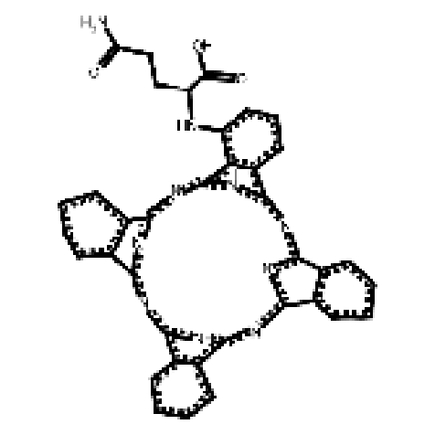 NC(=O)CC[C@H](Nc1cccc2c3nc4nc(nc5[nH]c(nc6nc(nc([nH]3)c12)-c1ccccc1-6)c1ccccc51)-c1ccccc1-4)C(=O)O